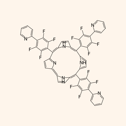 Fc1c(F)c(-c2c3nc(c4ccc([nH]4)c(-c4c(F)c(F)c(-c5ccccn5)c(F)c4F)c4ccc([nH]4)c(-c4c(F)c(F)c(-c5ccccn5)c(F)c4F)c4ccc2[nH]4)C=C3)c(F)c(F)c1-c1ccccn1